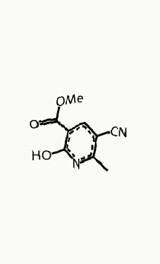 COC(=O)c1cc(C#N)c(C)nc1O